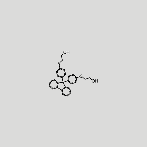 OCCSc1ccc(C2(c3ccc(SCCO)cc3)c3ccccc3-c3ccccc32)cc1